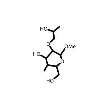 COC1OC(CO)C(C)C(O)C1OCC(C)O